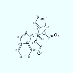 [CH2]=[Ti]([O]C=O)([O]C=O)([C]1=CC=CC1)[CH]1C=Cc2ccccc21